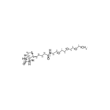 [CH2]COCCOCCOCCNC(=O)CCCC[C@@H]1SC[C@@H]2NC(=O)N[C@@H]21